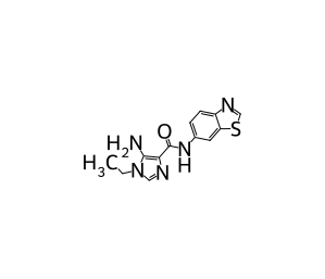 CCn1cnc(C(=O)Nc2ccc3ncsc3c2)c1N